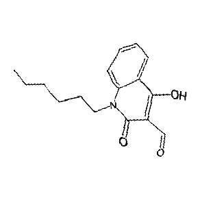 CCCCCCn1c(=O)c(C=O)c(O)c2ccccc21